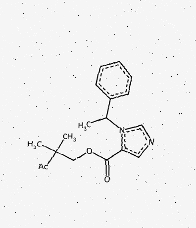 CC(=O)C(C)(C)COC(=O)c1cncn1C(C)c1ccccc1